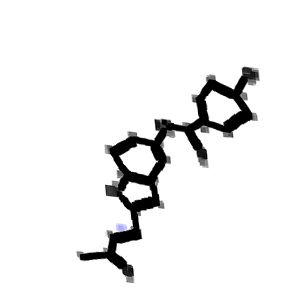 CC(=O)/C=C/c1cc2cc(NC(=O)c3ccc(O)cc3)ccc2[nH]1